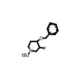 CC(C)(C)N1CCC(OCc2ccccc2)C(F)C1